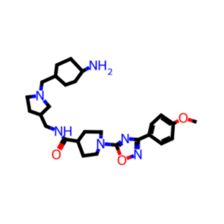 COc1ccc(-c2noc(N3CCC(C(=O)NCC4CCN(CC5CCC(N)CC5)C4)CC3)n2)cc1